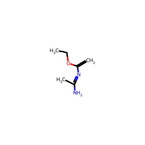 C=C(/N=C(\C)N)OCC